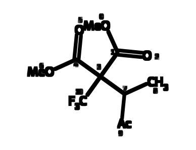 COC(=O)C(C(=O)OC)(C(C)C(C)=O)C(F)(F)F